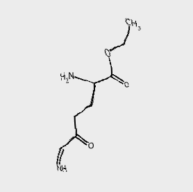 CCOC(=O)C(N)CCC(=O)C=N